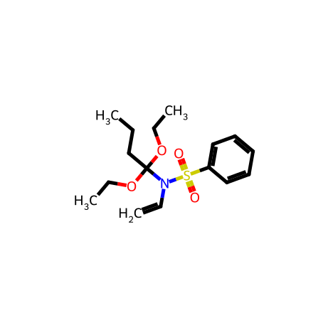 C=CN(C(CCC)(OCC)OCC)S(=O)(=O)c1ccccc1